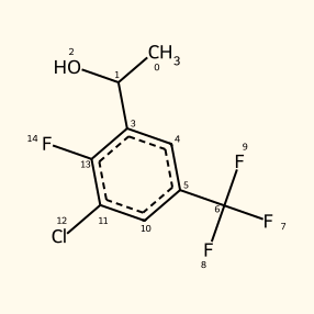 CC(O)c1cc(C(F)(F)F)cc(Cl)c1F